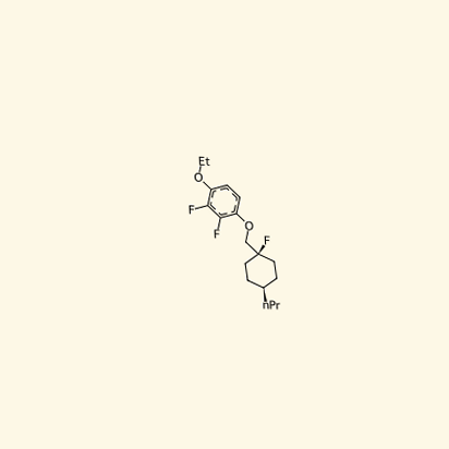 CCC[C@H]1CC[C@](F)(COc2ccc(OCC)c(F)c2F)CC1